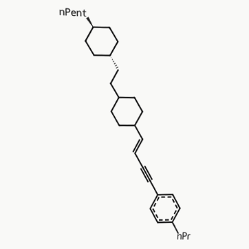 CCCCC[C@H]1CC[C@H](CCC2CCC(/C=C/C#Cc3ccc(CCC)cc3)CC2)CC1